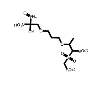 CCCCCCCCCCCS(=O)(=O)C(CCCCCCCC)C(C)OCCCOCC(O)([PH2]=O)C(=O)O